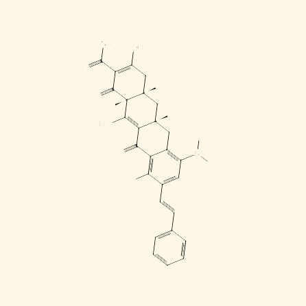 CN(C)c1cc(/C=C/c2ccccc2)c(O)c2c1C[C@H]1C[C@H]3CC(O)=C(C(N)=O)C(=O)[C@@]3(O)C(O)=C1C2=O